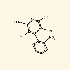 N#Cc1c(N)nc(S)c(C#N)c1-c1ccccc1[N+](=O)[O-]